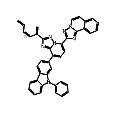 C=C/C=C\C(=C)c1nc2c(-c3ccc4c5ccccc5n(-c5ccccc5)c4c3)ccc(-c3nc4c5ccccc5ccn4n3)n2n1